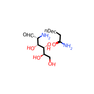 CCCCCCCCCCCC(N)=O.N[C@@H](C=O)[C@@H](O)[C@H](O)[C@H](O)CO